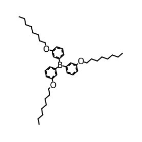 CCCCCCCCOc1cccc(B(c2cccc(OCCCCCCCC)c2)c2cccc(OCCCCCCCC)c2)c1